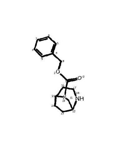 O=C(OCc1ccccc1)N1CC2CCC1CCN2